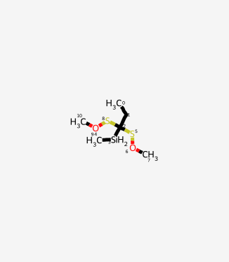 CCC([SiH2]C)(SOC)SOC